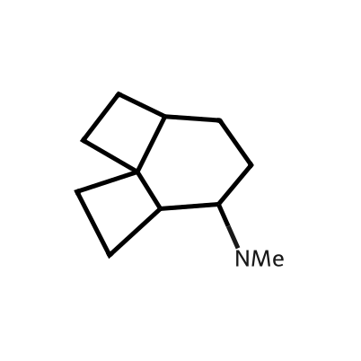 CNC1CCC2CCC23CCC13